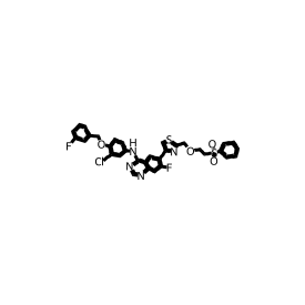 O=S(=O)(CCOCc1nc(-c2cc3c(Nc4ccc(OCc5cccc(F)c5)c(Cl)c4)ncnc3cc2F)cs1)c1ccccc1